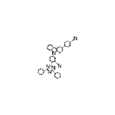 N#Cc1ccc(-c2ccc3c(c2)c2ccccc2n3-c2ccc(-c3nc(-c4ccccc4)nc(-c4ccccc4)n3)c(C#N)c2)cc1